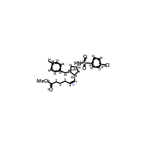 COC(=O)CCC/C=C\[C@@H]1C[C@@H](NS(=O)(=O)c2ccc(Cl)cc2)CN1Cc1ccc(C)cc1